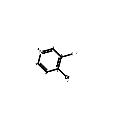 Brc1c[c]ncc1I